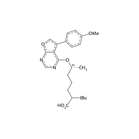 COc1ccc(-c2coc3ncnc(O[C@H](C)CCCC(C(=O)O)C(C)(C)C)c23)cc1